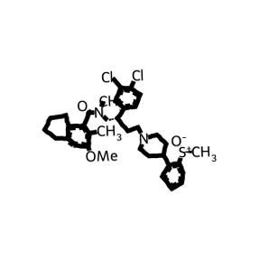 COc1cc2c(c(C(=O)N(C)C[C@@H](CCN3CCC(c4ccccc4[S@+](C)[O-])CC3)c3ccc(Cl)c(Cl)c3)c1C)CCCC2